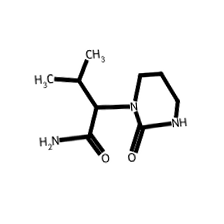 CC(C)C(C(N)=O)N1CCCNC1=O